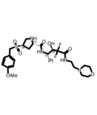 COc1ccc(CS(=O)(=O)[C@H]2CN[C@H](C(=O)N[C@@H](C(C)C)[C@@H](O)C(F)(F)C(=O)NCCN3CCOCC3)C2)cc1